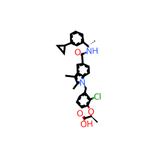 Cc1c(C)n(Cc2cccc(O[C@@H](C)C(=O)O)c2Cl)c2ccc(C(=O)N[C@@H](C)c3cccc(C4CC4)c3)cc12